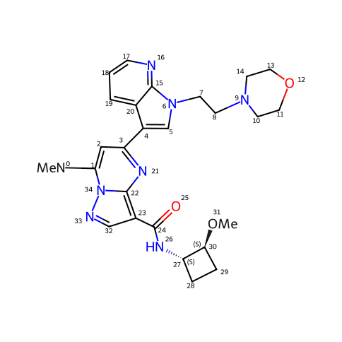 CNc1cc(-c2cn(CCN3CCOCC3)c3ncccc23)nc2c(C(=O)N[C@H]3CC[C@@H]3OC)cnn12